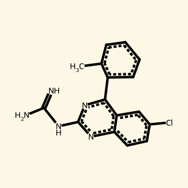 Cc1ccccc1-c1nc(NC(=N)N)nc2ccc(Cl)cc12